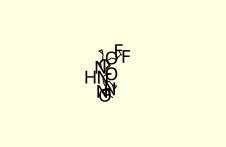 Cc1nc([C@](C)(CC2CC2)NC(=O)c2cc(OCC(F)F)c(C3CC3)cn2)no1